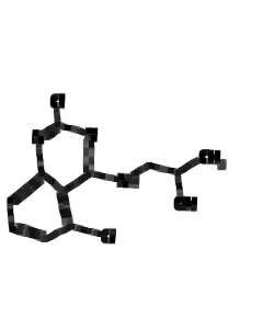 CC(O)CNc1nc(Cl)nc2cccc(Cl)c12